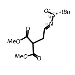 COC(=O)C(C/C=N/[S@+]([O-])C(C)(C)C)C(=O)OC